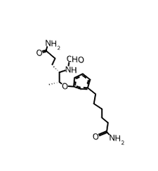 C[C@@H](Oc1cccc(CCCCCC(N)=O)c1)[C@H](CCC(N)=O)NC=O